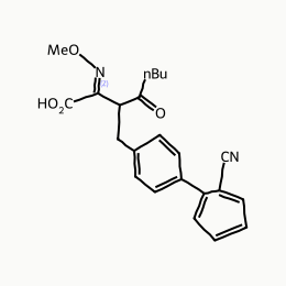 CCCCC(=O)C(Cc1ccc(-c2ccccc2C#N)cc1)/C(=N/OC)C(=O)O